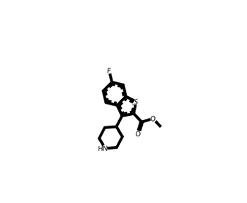 COC(=O)c1sc2cc(F)ccc2c1C1CCNCC1